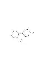 CS(=O)(=O)c1ccccc1-c1ccc(Cl)cn1